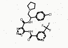 O=C(Nc1snnc1C(=O)NC(CN1CCCC1)c1ccc(Cl)cc1)c1cncc(C(F)(F)F)c1